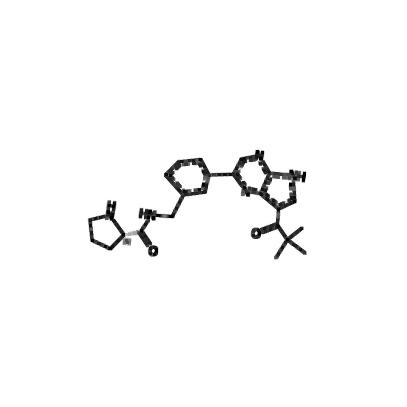 CC(C)(C)C(=O)c1c[nH]c2ncc(-c3cccc(CNC(=O)[C@@H]4CCCN4)c3)nc12